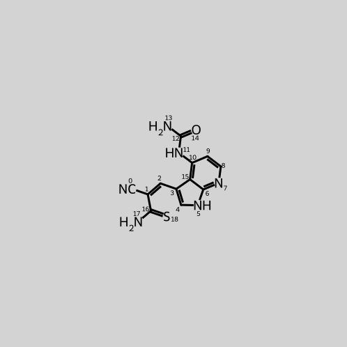 N#CC(=Cc1c[nH]c2nccc(NC(N)=O)c12)C(N)=S